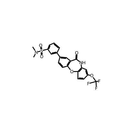 CN(C)S(=O)(=O)c1cccc(-c2ccc3c(c2)C(=O)Nc2cc(OC(F)(F)F)ccc2O3)c1